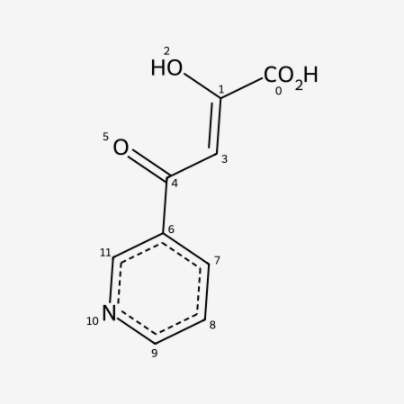 O=C(O)/C(O)=C/C(=O)c1cccnc1